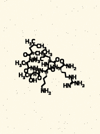 CC(C)C[C@H](NC(=O)[C@H](CCCCN)NC(=O)[C@@H](NC(=O)[C@H](C)NC(=O)[C@@H](C)CC(C)C)[C@@H](C)O)C(=O)N[C@@H](CCCNC(=N)N)C(N)=O